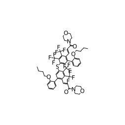 CCCCOc1ccccc1-c1cc(Sc2cc(-c3ccccc3OCCCC)c(/C=C/C(=O)N3CCOCC3)c(C(F)(F)F)c2C(F)(F)F)c(C(F)(F)F)c(C(F)(F)F)c1/C=C/C(=O)N1CCOCC1